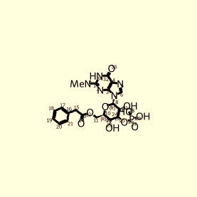 CNc1nc2c(ncn2[C@@H]2O[C@H](COC(=O)Cc3ccccc3)[C@@H](O)[C@H](OP(=O)(O)O)[C@H]2O)c(=O)[nH]1